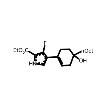 CCCCCCCCC1(O)CC=C(c2c[nH]c(C(=O)OCC)c2F)CC1